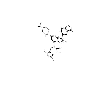 CC(=O)N1CCN(c2cc(N(Cc3cc(C)nn3C)C(=O)O)n3nc(C)c(-c4ccc5c(c4)c(C)nn5C)c3n2)CC1